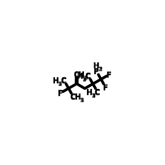 C=C(CC(C)(C)C(F)(F)P)C(C)(C)F